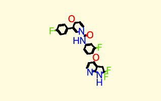 O=C(Nc1ccc(Oc2ccnc3c2CC(F)(F)N3)c(F)c1)n1ccc(=O)c(-c2ccc(F)cc2)c1